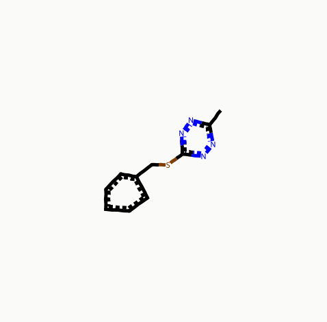 Cc1nnc(SCc2ccccc2)nn1